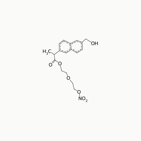 CC(C(=O)OCCOCCO[N+](=O)[O-])c1ccc2cc(CO)ccc2c1